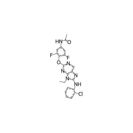 CCn1c(Nc2ccccc2Cl)nc2cnc(Oc3c(F)cc(NC(C)=O)cc3F)nc21